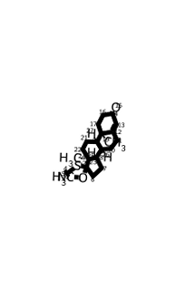 COC1(SC#N)CC[C@@H]2[C@@H]3CCC4=CC(=O)CC[C@]4(C)[C@@H]3CC[C@@]21C